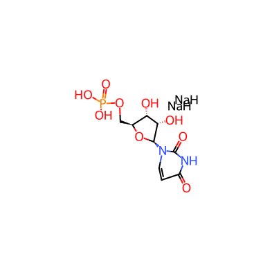 O=c1ccn([C@H]2O[C@@H](COP(=O)(O)O)[C@H](O)[C@@H]2O)c(=O)[nH]1.[NaH].[NaH]